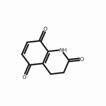 O=C1CCC2=C(N1)C(=O)C=CC2=O